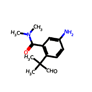 CN(C)C(=O)c1cc(N)ccc1C(C)(C)C=O